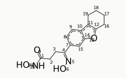 O=C(CCC(=NO)c1ccc2c3c(oc2c1)CCCC3)NO